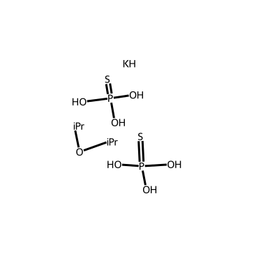 CC(C)OC(C)C.OP(O)(O)=S.OP(O)(O)=S.[KH]